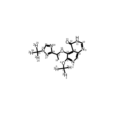 [2H]C([2H])([2H])Oc1ncc2nc[nH]c(=O)c2c1OC(C)c1ncn(C([2H])([2H])[2H])n1